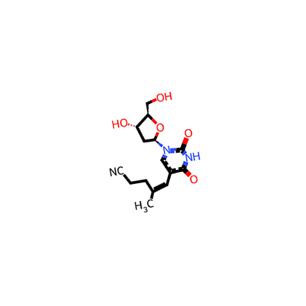 CC(=Cc1cn([C@H]2C[C@H](O)[C@@H](CO)O2)c(=O)[nH]c1=O)CCC#N